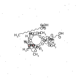 CCC(=O)O[C@H]1[C@H](O[C@@H]2[C@@H](C)[C@H](O[C@H]3C[C@@](C)(OC)[C@@H](O)[C@H](C)O3)[C@@H](C)C(=O)O[C@H](CC)[C@@](C)(O)[C@H](O)[C@@H](C)C(=O)[C@H](C)C[C@@]2(C)O)O[C@H](C)C[C@@H]1N(C)C.CCCCCCCCCCCCOS(=O)(=O)O.O=C(O)CCC(=O)O